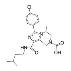 CC(C)CCNC(=O)c1nc(-c2ccc(Cl)cc2)n2c1CN(C(=O)O)CC2C